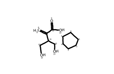 C1CCCCC1.C=C(C(=O)O)C(CO)CO